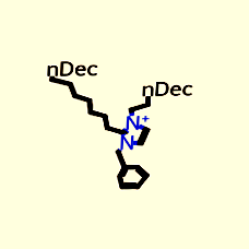 CCCCCCCCCCCCCCCCCc1n(Cc2ccccc2)cc[n+]1CCCCCCCCCCCC